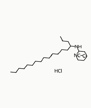 CCCCCCCCCCCCCCC(CCC)NC1CC2CCN1CC2.Cl